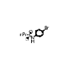 CCCS(=O)(=O)Nc1ccc(Br)cc1